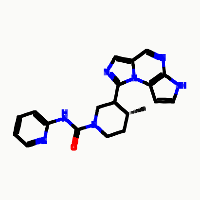 C[C@@H]1CCN(C(=O)Nc2ccccn2)CC1c1ncc2cnc3[nH]ccc3n12